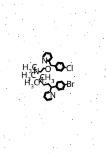 CN(C)CCC(c1ccc(Br)cc1)c1ccccn1.CN(C)CCOC(c1ccc(Cl)cc1)c1ccccn1